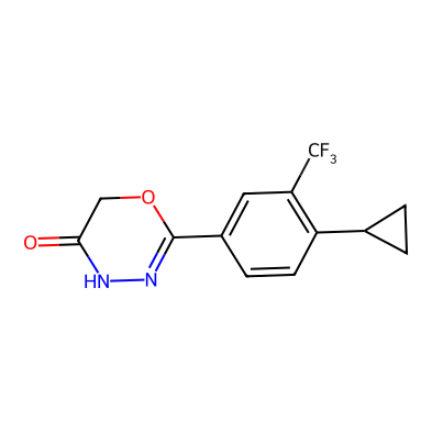 O=C1COC(c2ccc(C3CC3)c(C(F)(F)F)c2)=NN1